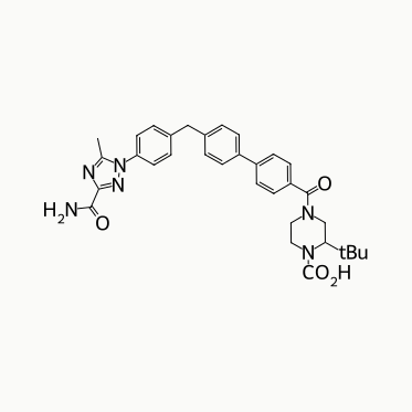 Cc1nc(C(N)=O)nn1-c1ccc(Cc2ccc(-c3ccc(C(=O)N4CCN(C(=O)O)C(C(C)(C)C)C4)cc3)cc2)cc1